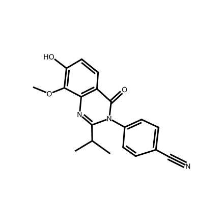 COc1c(O)ccc2c(=O)n(-c3ccc(C#N)cc3)c(C(C)C)nc12